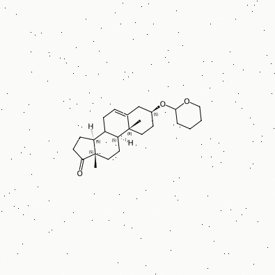 C[C@]12CC[C@H](OC3CCCCO3)CC1=CCC1[C@@H]2CC[C@]2(C)C(=O)CC[C@@H]12